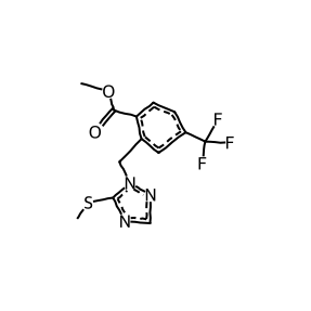 COC(=O)c1ccc(C(F)(F)F)cc1Cn1ncnc1SC